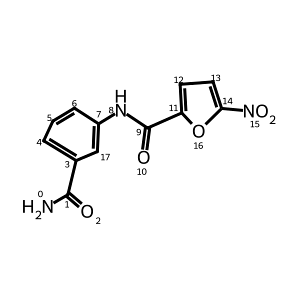 NC(=O)c1cccc(NC(=O)c2ccc([N+](=O)[O-])o2)c1